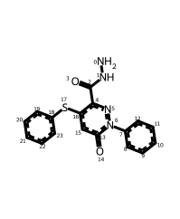 NNC(=O)c1nn(-c2ccccc2)c(=O)cc1Sc1ccccc1